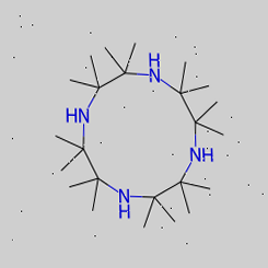 CC1(C)NC(C)(C)C(C)(C)NC(C)(C)C(C)(C)NC(C)(C)C(C)(C)NC1(C)C